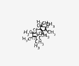 CC1=C(C)C(C)(C)[C]([Cr][C]2=C(C)C(C)=C(C)C2(C)C)=C1C